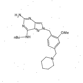 CCCCNc1nc(N)nc2cn(Cc3ccc(CN4CCCCC4)cc3OC)nc12